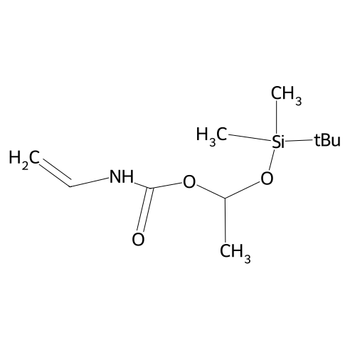 C=CNC(=O)OC(C)O[Si](C)(C)C(C)(C)C